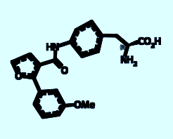 COc1cccc(-c2occc2C(=O)Nc2ccc(C[C@H](N)C(=O)O)cc2)c1